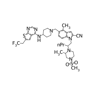 CCCC(Cn1c(C#N)cc2c(C)c(CN3CCC(Nc4ncnc5sc(CC(F)(F)F)cc45)CC3)ccc21)N1CCN(S(C)(=O)=O)CC1C